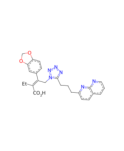 CCC(C(=O)O)=C(Cn1nnnc1CCCc1ccc2cccnc2n1)c1ccc2c(c1)OCO2